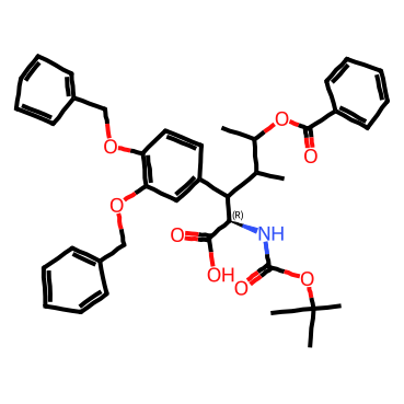 CC(OC(=O)c1ccccc1)C(C)C(c1ccc(OCc2ccccc2)c(OCc2ccccc2)c1)[C@@H](NC(=O)OC(C)(C)C)C(=O)O